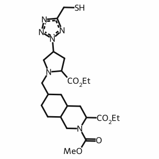 CCOC(=O)C1CC(n2nnc(CS)n2)CN1CC1CCC2CN(C(=O)OC)C(C(=O)OCC)CC2C1